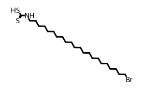 S=C(S)NCCCCCCCCCCCCCCCCCCCCCCBr